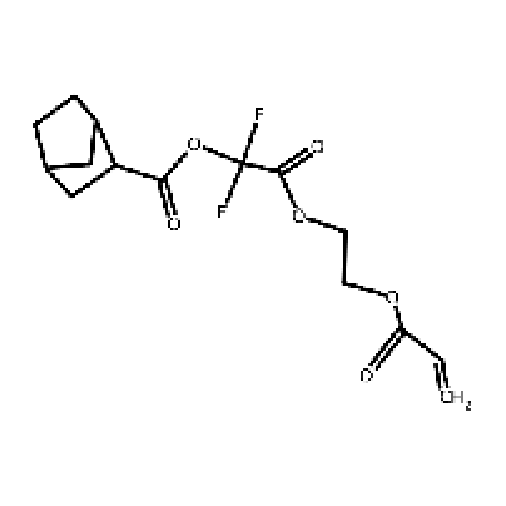 C=CC(=O)OCCOC(=O)C(F)(F)OC(=O)C1CC2CCC1C2